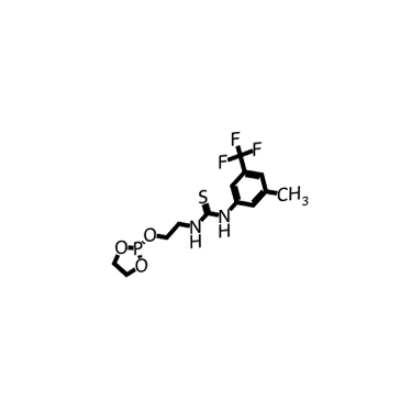 Cc1cc(NC(=S)NCCOP2OCCO2)cc(C(F)(F)F)c1